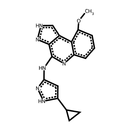 COc1cccc2nc(Nc3cc(C4CC4)[nH]n3)c3n[nH]cc3c12